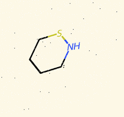 [C]1CCCSN1